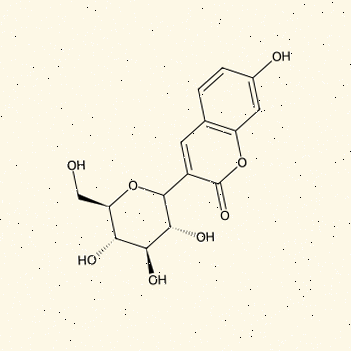 O=c1oc2cc(O)ccc2cc1C1O[C@H](CO)[C@@H](O)[C@H](O)[C@H]1O